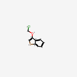 ClCOc1[c]sc2ccccc12